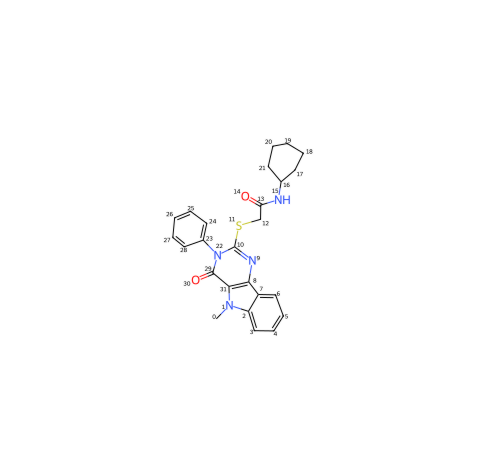 Cn1c2ccccc2c2nc(SCC(=O)NC3CCCCC3)n(-c3ccccc3)c(=O)c21